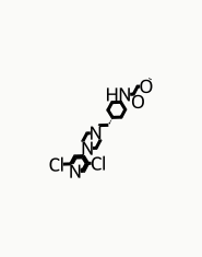 COCC(=O)N[C@H]1CC[C@H](CCN2CCN(c3cc(Cl)ncc3Cl)CC2)CC1